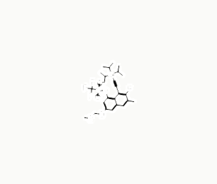 COCOc1cc(OS(=O)(=O)C(F)(F)F)c2c(C#C[Si](C(C)C)(C(C)C)C(C)C)c(F)c(C)cc2c1